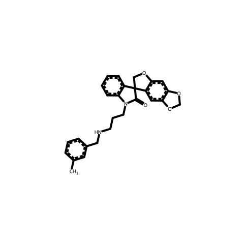 Cc1cccc(CNCCCN2C(=O)C3(COc4cc5c(cc43)OCO5)c3ccccc32)c1